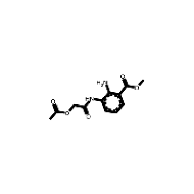 COC(=O)c1cccc(NC(=O)COC(C)=O)c1N